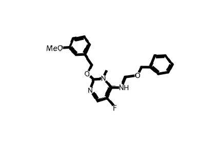 COc1cccc(COC2N=CC(F)=C(NCOCc3ccccc3)N2C)c1